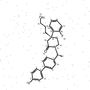 C[C@@H](c1ccc(-c2ccc(F)cc2)cc1)N1CC[C@@](CCCO)(c2ccccc2F)CC1=O